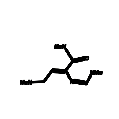 CN/C=N\C(=C/CNC)C(=O)NC